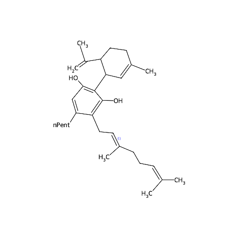 C=C(C)C1CCC(C)=CC1c1c(O)cc(CCCCC)c(C/C=C(\C)CCC=C(C)C)c1O